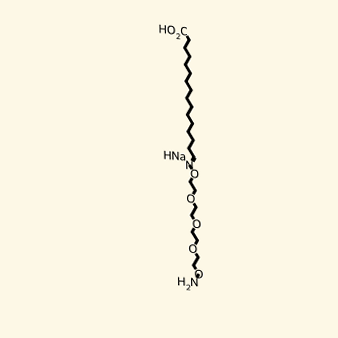 NOCCOCCOCCOCCON=CCCCCCCCCCCCCCCC(=O)O.[NaH]